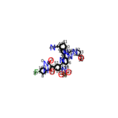 CNC(=O)c1c(-c2ccc(F)cc2)oc2cc(N(C)S(C)(=O)=O)c(-c3ccc4nc(CN5CCC(OC)C5)n5c6cccc(C#N)c6cc5c4n3)cc12